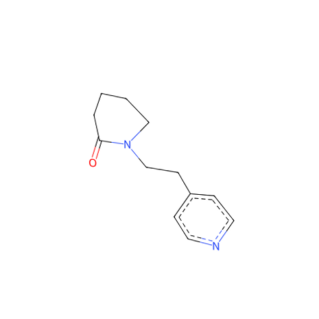 O=C1CCCCN1CCc1ccncc1